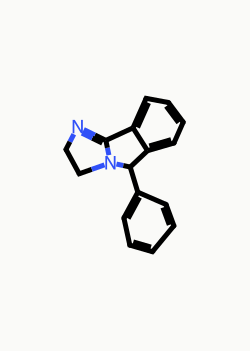 c1ccc(C2c3ccccc3C3=NCCN32)cc1